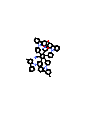 Cc1ccc2c(c1)c1ccccc1n2-c1cccc(-c2c(C#N)c(-c3cccc(-n4c5ccccc5c5cc(C)ccc54)c3)c(-c3cccc(-n4c5ccccc5c5cc(C)ccc54)c3)c(-c3cccc(-n4c5ccccc5c5cc(C)ccc54)c3)c2-c2cccnc2)c1